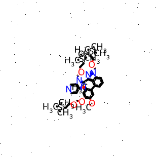 COc1cc(-c2cccc3c2c(-c2nc4ccncc4n2COCC[Si](C)(C)C)nn3COCC[Si](C)(C)C)c(C)cc1OCOCC[Si](C)(C)C